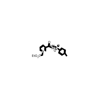 CCOC(=O)C[n+]1cccc(C(=O)NNS(=O)(=O)c2ccc(C)cc2)c1